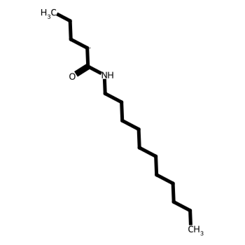 CCC[CH]C(=O)NCCCCCCCCCCC